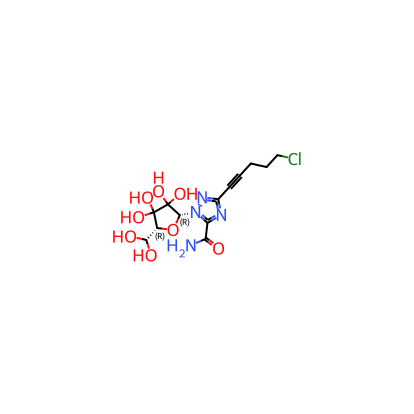 NC(=O)c1nc(C#CCCCCl)nn1[C@@H]1O[C@H](C(O)O)C(O)(O)C1(O)O